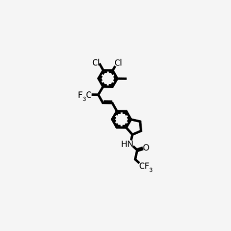 Cc1cc(C(/C=C/c2ccc3c(c2)CCC3NC(=O)CC(F)(F)F)C(F)(F)F)cc(Cl)c1Cl